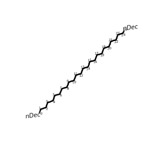 [CH2]CCCCCCCCCCCCCCCCCCCCCCCCCCCCCCCCCCCCCCCCCCC